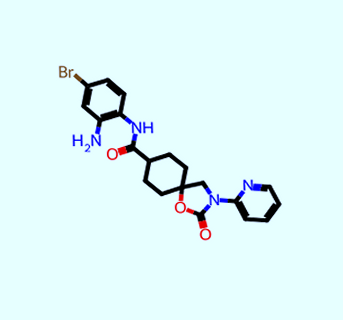 Nc1cc(Br)ccc1NC(=O)C1CCC2(CC1)CN(c1ccccn1)C(=O)O2